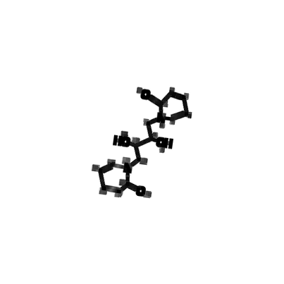 O=c1ccccn1CC(O)C(O)Cn1ccccc1=O